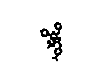 CC(=O)Oc1c(Cc2ccc(C(C)C)cc2)nc2c(Cc3ccccc3)nc(-c3ccccc3)cn12